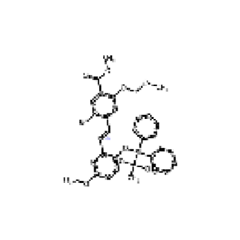 COCOc1cc(/C=C/c2nc(OC)ccc2O[Si](c2ccccc2)(c2ccccc2)C(C)(C)C)c(Br)cc1C(=O)OC